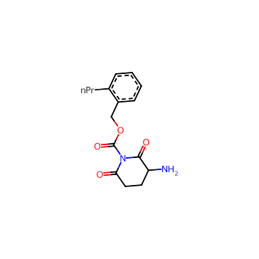 CCCc1ccccc1COC(=O)N1C(=O)CCC(N)C1=O